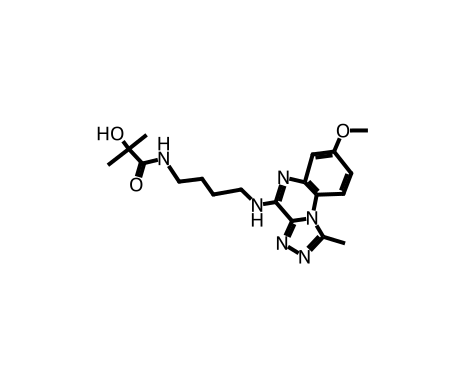 COc1ccc2c(c1)nc(NCCCCNC(=O)C(C)(C)O)c1nnc(C)n12